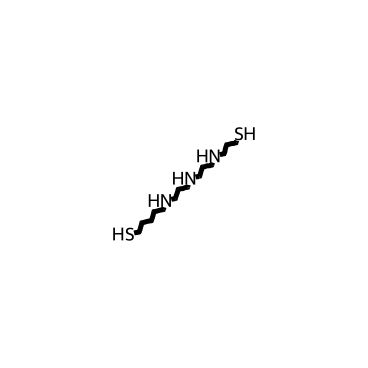 SCCCCCNCCCNCCCNCCCS